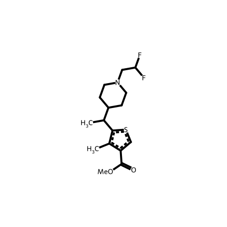 COC(=O)c1csc(C(C)C2CCN(CC(F)F)CC2)c1C